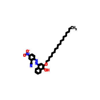 CCCCCCCCCCCCCCCCCCOc1cc(/N=N/c2ccc([N+](=O)[O-])cc2C#N)c2ccccc2c1O